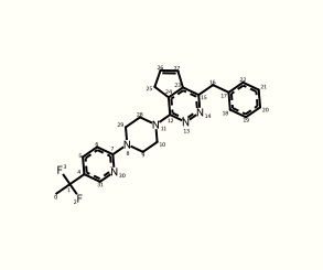 CC(F)(F)c1ccc(N2CCN(c3nnc(Cc4ccccc4)c4c3CC=C4)CC2)nc1